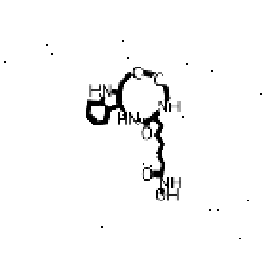 O=C(CCCCCC1NCCCCOCCc2[nH]c3ccccc3c2CNC1=O)NO